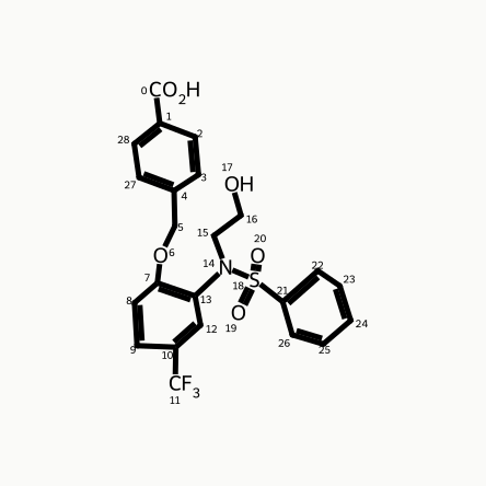 O=C(O)c1ccc(COc2ccc(C(F)(F)F)cc2N(CCO)S(=O)(=O)c2ccccc2)cc1